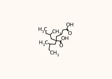 CCC(C)CC(CCCC(=O)O)(CC(C)CC)C(=O)O